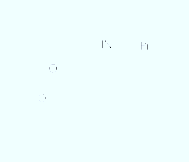 CC(C)N[C]1CCCOO1